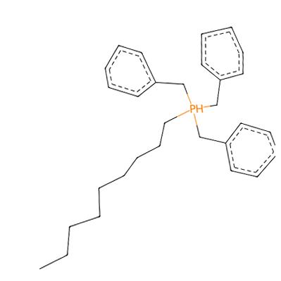 CCCCCCCCC[PH](Cc1ccccc1)(Cc1ccccc1)Cc1ccccc1